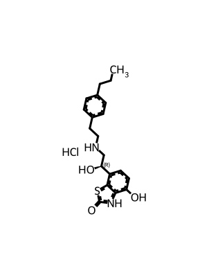 CCCc1ccc(CCNC[C@H](O)c2ccc(O)c3[nH]c(=O)sc23)cc1.Cl